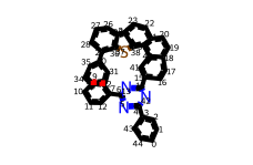 c1ccc(-c2nc(-c3ccccc3)nc(-c3ccc4ccc5ccc6c7cccc(-c8ccccc8)c7sc6c5c4c3)n2)cc1